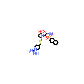 N=C(N)N1CCC(CSC[C@@H]2CCCN2C(=O)[C@H](CO)NS(=O)(=O)c2ccc3ccccc3c2)CC1